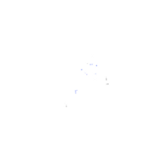 Cc1nc(CN[S+]([O-])C(C)(C)C)n(C(C)C)n1